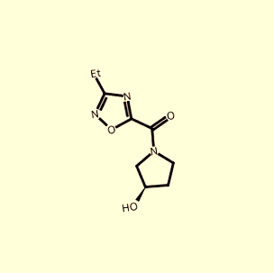 CCc1noc(C(=O)N2CC[C@@H](O)C2)n1